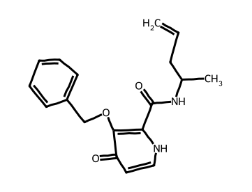 C=CCC(C)NC(=O)c1[nH]ccc(=O)c1OCc1ccccc1